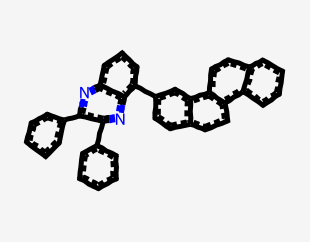 c1ccc(-c2nc3cccc(-c4ccc5ccc6c7ccccc7ccc6c5c4)c3nc2-c2ccccc2)cc1